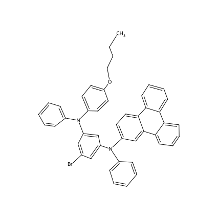 CCCCOc1ccc(N(c2ccccc2)c2cc(Br)cc(N(c3ccccc3)c3ccc4c5ccccc5c5ccccc5c4c3)c2)cc1